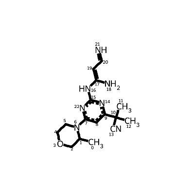 CC1COCCN1c1cc(C(C)(C)C#N)nc(N/C(N)=C/C=N)n1